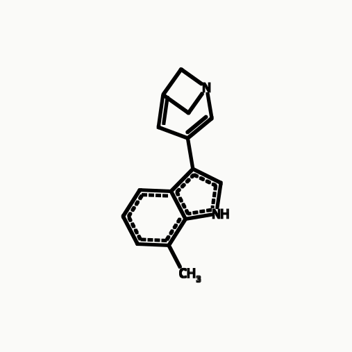 Cc1cccc2c(C3=CN4CC(=C3)C4)c[nH]c12